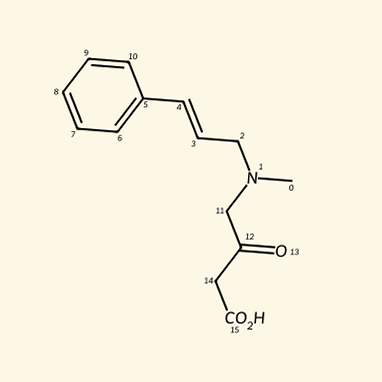 CN(CC=Cc1ccccc1)CC(=O)CC(=O)O